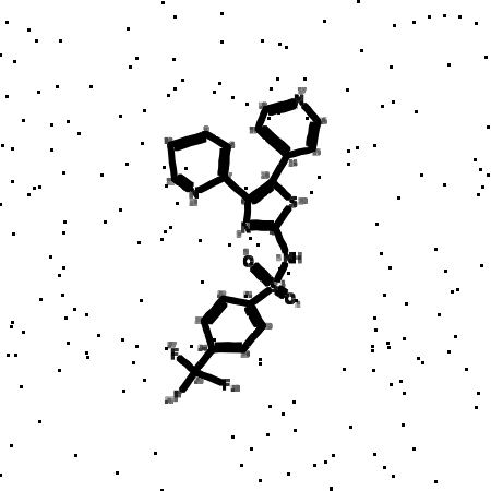 O=S(=O)(Nc1nc(-c2ccccn2)c(-c2ccncc2)s1)c1ccc(C(F)(F)F)cc1